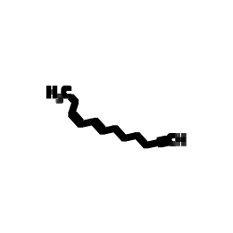 C#CCCCC/C=C/C=C\CC